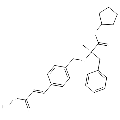 C[C@@](Cc1ccccc1)(NCc1ccc(/C=C/C(=O)NO)cc1)C(=O)OC1CCCC1